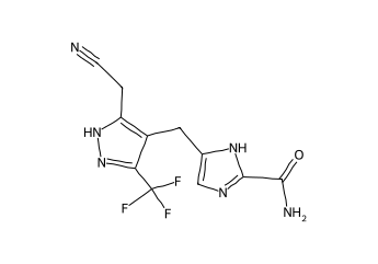 N#CCc1[nH]nc(C(F)(F)F)c1Cc1cnc(C(N)=O)[nH]1